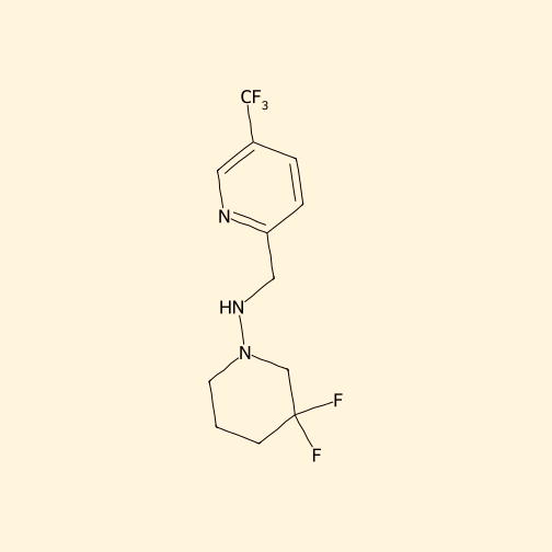 FC1(F)CCCN(NCc2ccc(C(F)(F)F)cn2)C1